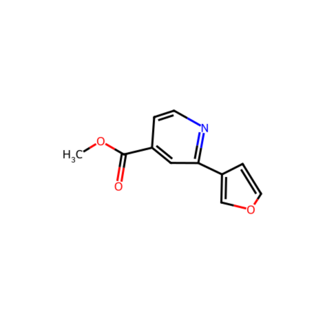 COC(=O)c1ccnc(-c2ccoc2)c1